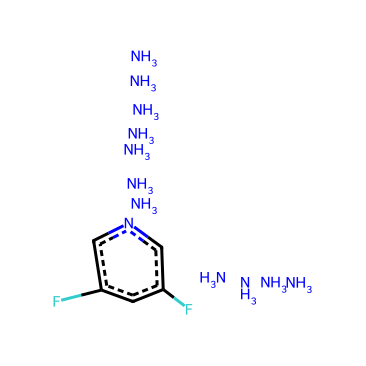 Fc1cncc(F)c1.N.N.N.N.N.N.N.N.N.N.N